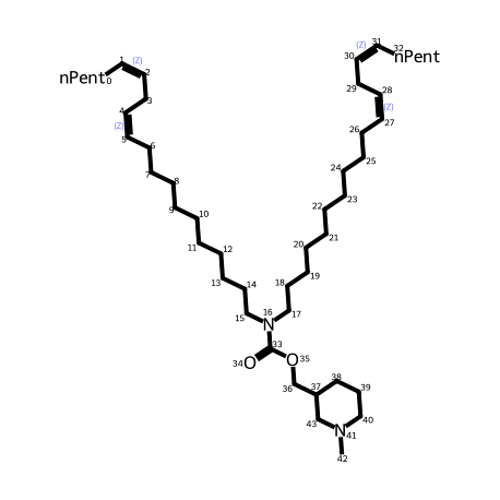 CCCCC/C=C\C/C=C\CCCCCCCCCCN(CCCCCCCCCC/C=C\C/C=C\CCCCC)C(=O)OCC1CCCN(C)C1